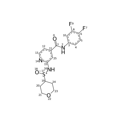 O=C(Nc1ccc(F)c(F)c1)c1ccnc(N[S+]([O-])C2CCOCC2)c1